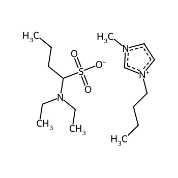 CCCC(N(CC)CC)S(=O)(=O)[O-].CCCC[n+]1ccn(C)c1